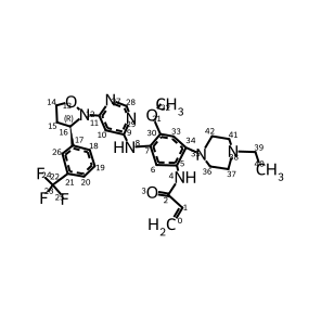 C=CC(=O)Nc1cc(Nc2cc(N3OCC[C@@H]3c3cccc(C(F)(F)F)c3)ncn2)c(OC)cc1N1CCN(CC)CC1